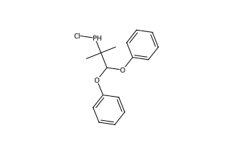 CC(C)(PCl)C(Oc1ccccc1)Oc1ccccc1